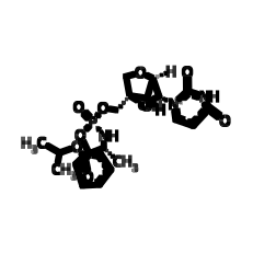 CC(C)OC(=O)[C@@H](C)N[P@@](=O)(OC[C@@]12CO[C@@H]([C@H](n3ccc(=O)[nH]c3=O)O1)[C@@H]2O)Oc1ccccc1